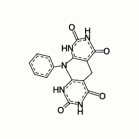 O=c1[nH]c2c(c(=O)[nH]1)Cc1c([nH]c(=O)[nH]c1=O)N2c1ccccc1